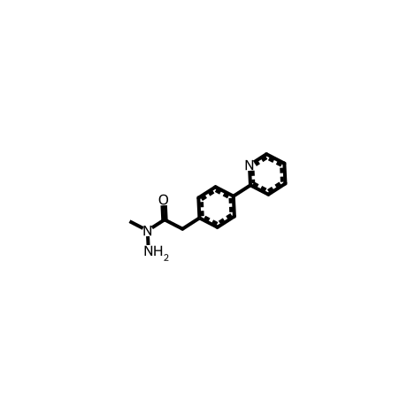 CN(N)C(=O)Cc1ccc(-c2ccccn2)cc1